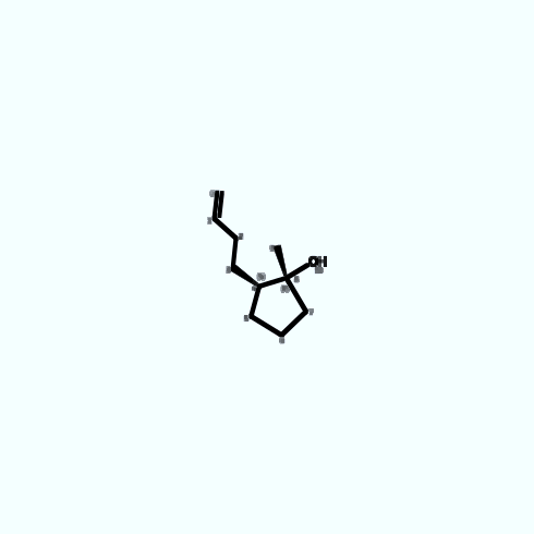 C=CCC[C@@H]1CCC[C@@]1(C)O